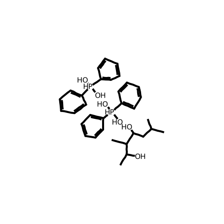 CC(C)CC(O)C(C)C(C)O.O[PH](O)(c1ccccc1)c1ccccc1.O[PH](O)(c1ccccc1)c1ccccc1